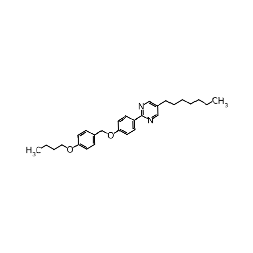 CCCCCCCc1cnc(-c2ccc(OCc3ccc(OCCCC)cc3)cc2)nc1